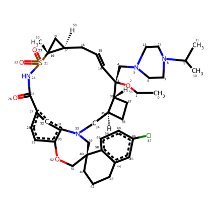 CCO[C@@]1(CN2CCN(C(C)C)CC2)/C=C/C[C@@H]2C[C@@]2(C)S(=O)(=O)NC(=O)c2ccc3c(c2)N(C[C@@H]2CC[C@H]21)C[C@@]1(CCCc2cc(Cl)ccc21)CO3